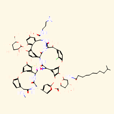 CN[C@H]1C(=O)NC2Cc3ccc(cc3)Oc3cc4cc(c3OC3O[C@H](C(=O)O)[C@@H](O)[C@H](O)[C@H]3NC(=O)CCCCCCCCC(C)C)Oc3ccc(cc3Cl)C(O)[C@@H]3NC(=O)[C@H](NC(=O)[C@@H]4NC(=O)[C@@H](NC2=O)c2cc(cc(O)c2Cl)Oc2cc1ccc2O)c1ccc(O)c(c1)-c1c(OC2O[C@H](CO)[C@@H](O)[C@H](O)[C@@H]2O)cc(O)cc1[C@H](C(=O)NCCCN(C)C)NC3=O